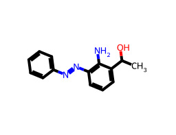 CC(O)c1cccc(N=Nc2ccccc2)c1N